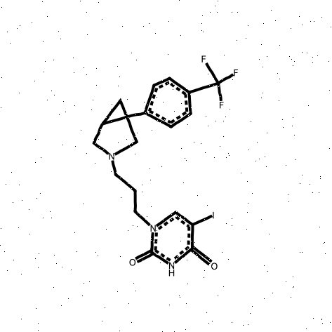 O=c1[nH]c(=O)n(CCCN2CC3CC3(c3ccc(C(F)(F)F)cc3)C2)cc1I